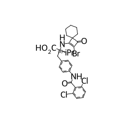 CC(C)[C@](Cc1ccc(NC(=O)c2c(Cl)cccc2Cl)cc1)(NC1=C(Br)C(=O)C12CCCCC2)C(=O)O